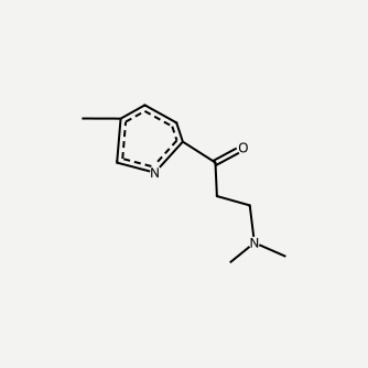 Cc1ccc(C(=O)CCN(C)C)nc1